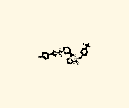 CC(F)(F)c1ccc(CNC(=O)[C@H]2CCCN2C(=O)[C@H]2CCCN(S(=O)(=O)N3CC(c4ccc(F)cc4)C3)C2)cc1